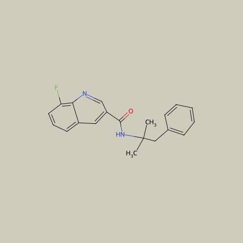 CC(C)(Cc1ccccc1)NC(=O)c1cnc2c(F)cccc2c1